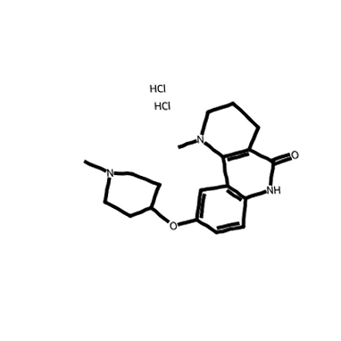 CN1CCC(Oc2ccc3[nH]c(=O)c4c(c3c2)N(C)CCC4)CC1.Cl.Cl